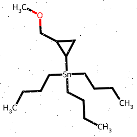 CCC[CH2][Sn]([CH2]CCC)([CH2]CCC)[CH]1CC1COC